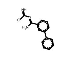 N=C(Cl)/N=C(\N)c1cccc(-c2ccccc2)c1